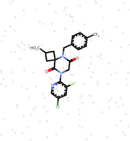 O=C(O)C1CC2(C1)C(=O)N(c1ncc(Cl)cc1F)CC(=O)N2Cc1ccc(C(F)(F)F)cc1